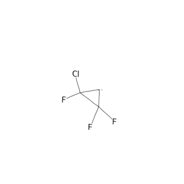 FC1(F)[CH]C1(F)Cl